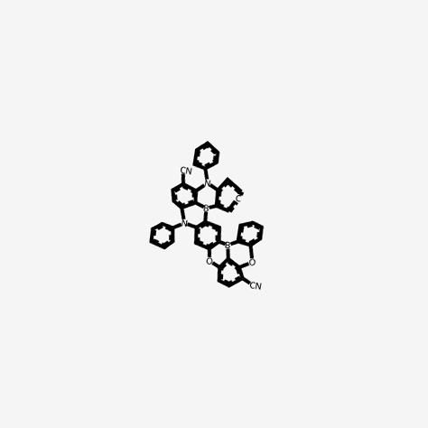 N#Cc1ccc2c3c1Oc1ccccc1B3c1cc3c(cc1O2)N(c1ccccc1)c1ccc(C#N)c2c1B3c1ccccc1N2c1ccccc1